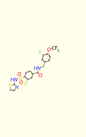 O=C(NCc1ccc(OC(F)(F)F)c(F)c1)c1ccc(S(=O)(=O)Nc2nccs2)c(F)c1